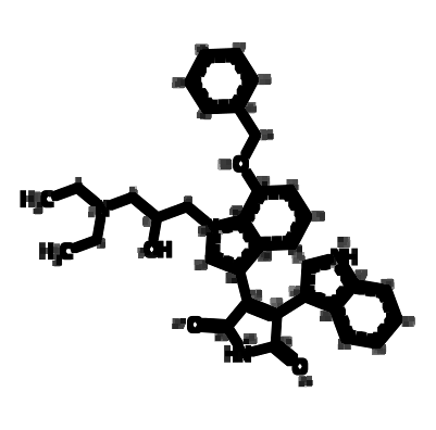 CCN(CC)CC(O)Cn1cc(C2=C(c3c[nH]c4ccccc34)C(=O)NC2=O)c2cccc(OCc3ccccc3)c21